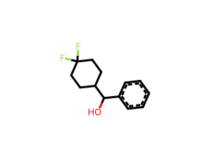 OC(c1ccccc1)C1CCC(F)(F)CC1